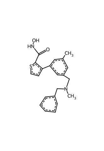 Cc1cc(CN(C)Cc2ccccc2)cc(-c2ccsc2C(=O)NO)c1